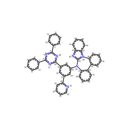 c1ccc(-c2nc(-c3ccccc3)nc(-c3cc(-c4ccccn4)cc(N4c5ccccc5-c5ccccc5-n5c4nc4ccccc45)c3)n2)cc1